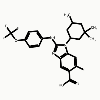 CC1CC(n2c(Nc3ccc(OC(F)(F)F)cc3)nc3cc(C(=O)O)c(F)cc32)CC(C)(C)C1